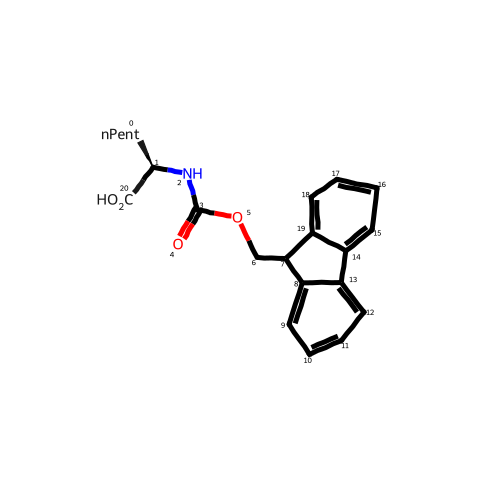 CCCCC[C@@H](NC(=O)OCC1c2ccccc2-c2ccccc21)C(=O)O